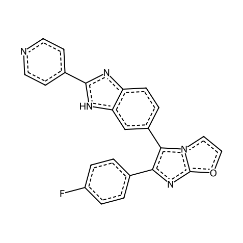 Fc1ccc(-c2nc3occn3c2-c2ccc3nc(-c4ccncc4)[nH]c3c2)cc1